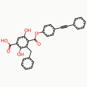 O=C(O)c1cc(O)c(C(=O)Oc2ccc(C#Cc3ccccc3)cc2)c(Cc2ccccc2)c1O